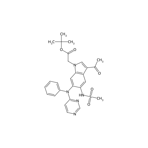 CC(=O)c1cn(CC(=O)OC(C)(C)C)c2cc(N(c3ccccc3)c3ccncn3)c(NS(C)(=O)=O)cc12